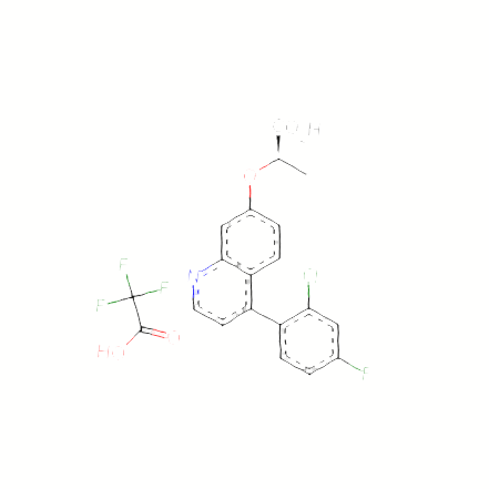 C[C@@H](Oc1ccc2c(-c3ccc(F)cc3Cl)ccnc2c1)C(=O)O.O=C(O)C(F)(F)F